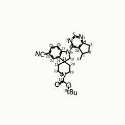 CC1CCc2ncnc(N3CC4(CCN(C(=O)OC(C)(C)C)CC4)c4cc(C#N)ccc43)c21